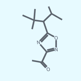 CC(=O)c1noc(C(C(C)C)C(C)(C)C)n1